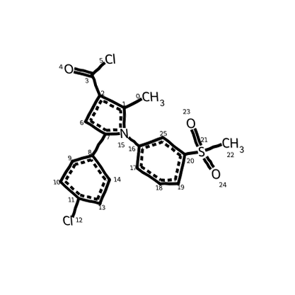 Cc1c(C(=O)Cl)cc(-c2ccc(Cl)cc2)n1-c1cccc(S(C)(=O)=O)c1